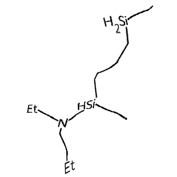 CCN(CC)[SiH](C)CC[SiH2]C